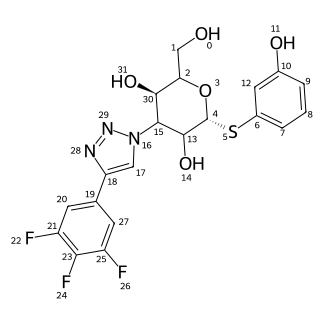 OCC1O[C@H](Sc2cccc(O)c2)C(O)C(n2cc(-c3cc(F)c(F)c(F)c3)nn2)[C@H]1O